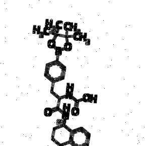 CC1(C)OB(c2ccc(CC(NC(=O)O)C(=O)N[C@@H]3CCCc4ccccc43)cc2)OC1(C)C